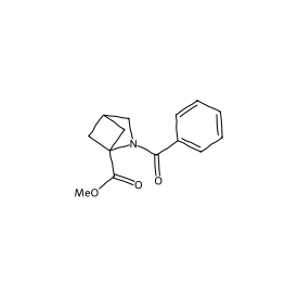 COC(=O)C12CC(CN1C(=O)c1ccccc1)C2